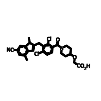 Cc1cc(C#N)cc2c1C=C(Cc1c(Cl)ccc(C(=O)N3CCC(OCC(=O)O)CC3)c1Cl)C2C